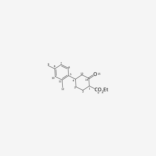 CCOC(=O)C1CCC(c2ccc(C)cc2C)CC1=O